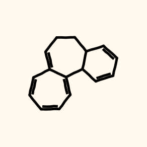 C1=CC=C2C(=CCCC3C=CC=CC23)C=C1